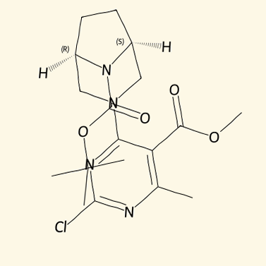 COC(=O)c1c(C)nc(Cl)nc1N1C[C@H]2CC[C@@H](C1)N2C(=O)OC(C)(C)C